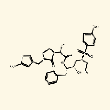 COc1ccc(S(=O)(=O)N(CC(C)C)C[C@H](O)[C@H](Cc2ccccc2)NC(=O)[C@H](C(C)C)N2CCN(Cc3csc([N+](=O)[O-])c3)C2=O)cc1